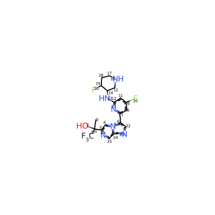 CC(O)(c1cn2c(-c3cc(F)cc(NC4CNCCC4F)n3)cnc2cn1)C(F)(F)F